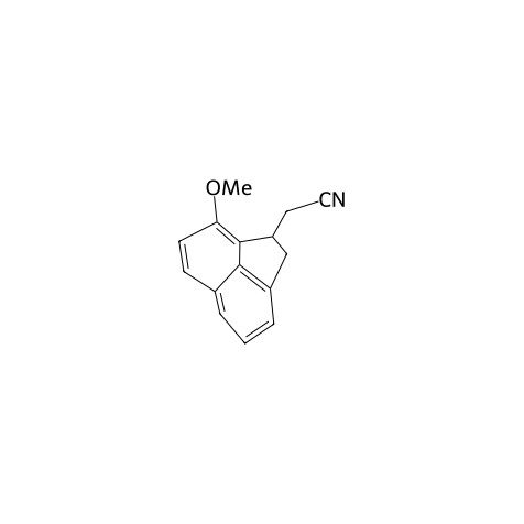 COc1ccc2cccc3c2c1C(CC#N)C3